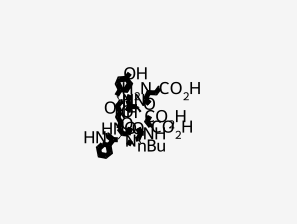 CCCC[C@@H](C(=O)N[C@@H](CC(=O)O)C(=O)O)N(C)C(=O)[C@H](Cc1c[nH]c2ccccc12)NC(=O)CNC(=O)[C@H](Cc1ccc(O)cc1)N(C)C(=O)[C@H](C)NC(=O)[C@H](N)CCC(=O)O